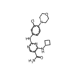 NC(=O)c1cnc(Nc2ccc(N3CCOCC3)c(Cl)c2)nc1NC1CCC1